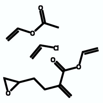 C=CCl.C=COC(=O)C(=C)CCC1CO1.C=COC(C)=O